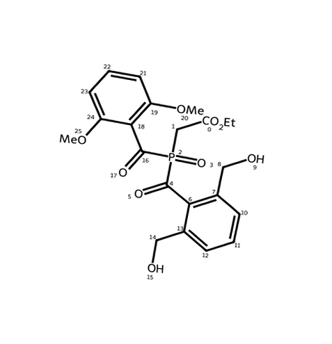 CCOC(=O)CP(=O)(C(=O)c1c(CO)cccc1CO)C(=O)c1c(OC)cccc1OC